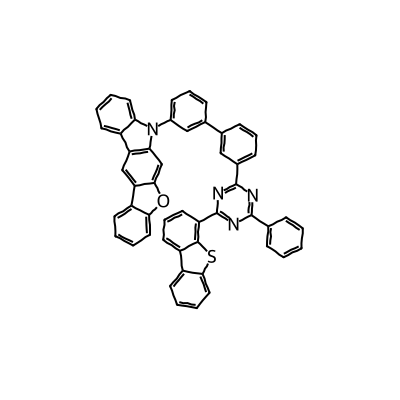 c1ccc(-c2nc(-c3cccc(-c4cccc(-n5c6ccccc6c6cc7c(cc65)oc5ccccc57)c4)c3)nc(-c3cccc4c3sc3ccccc34)n2)cc1